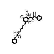 O=C(NCCCCSC1=CC(=O)c2[nH]nc(C(=O)Nc3ccccc3)c2C1=O)Oc1ccccc1